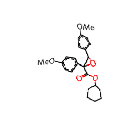 COc1ccc(C2OC2(C(=O)OC2CCCCC2)c2ccc(OC)cc2)cc1